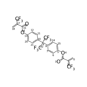 C=C(C(=O)Oc1ccc(C(c2ccc(OC(=O)C(=C)C(F)(F)F)cc2)(C(F)(F)F)C(F)(F)F)cc1)C(F)(F)F